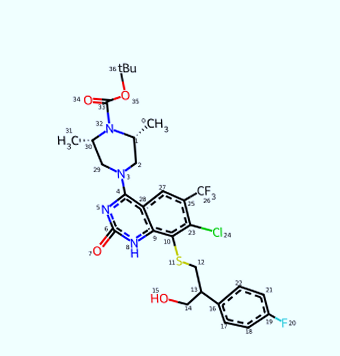 C[C@@H]1CN(c2nc(=O)[nH]c3c(SCC(CO)c4ccc(F)cc4)c(Cl)c(C(F)(F)F)cc23)C[C@H](C)N1C(=O)OC(C)(C)C